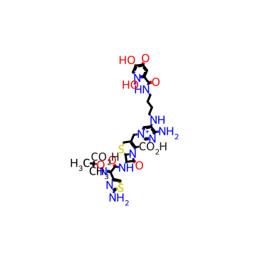 CC(C)(O/N=C(\C(=O)N[C@@H]1C(=O)N2C(C(=O)O)=C(C[n+]3cnc(N)c(NCCCCNC(=O)c4cc(=O)c(O)cn4O)c3)CSC12)c1csc(N)n1)C(=O)O